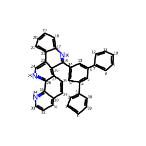 c1ccc(-c2cc(-c3ccccc3)cc(-c3nc4ccccc4c4cnc5c(ccc6cccnc65)c34)c2)cc1